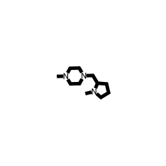 CN1CCN(CC2CCCN2C)CC1